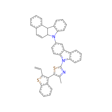 C=Cc1sc2ccccc2c1-c1sc(-n2c3ccccc3c3cc(N4c5ccccc5C5c6ccccc6C=CC54)ccc32)nc1C